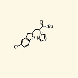 CC(C)(C)C(=O)C(CC1Cc2cc(Cl)ccc2O1)n1cncn1